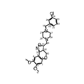 COc1cc2c(cc1OC)C1=NOC(CN3CCN(Cc4cccc(Cl)c4)CC3)C1CO2